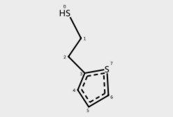 SCCc1cccs1